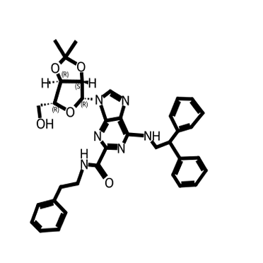 CC1(C)O[C@H]2[C@H](O1)[C@@H](CO)O[C@H]2n1cnc2c(NCC(c3ccccc3)c3ccccc3)nc(C(=O)NCCc3ccccc3)nc21